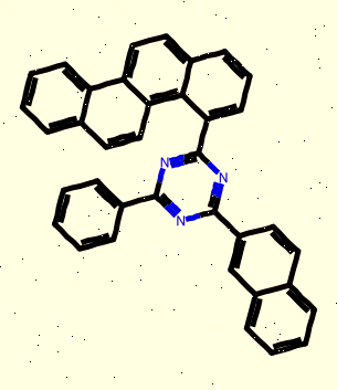 c1ccc(-c2nc(-c3ccc4ccccc4c3)nc(-c3cccc4ccc5c6ccccc6ccc5c34)n2)cc1